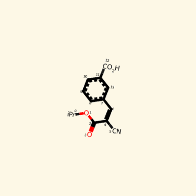 CC(C)OC(=O)C(C#N)=Cc1cccc(C(=O)O)c1